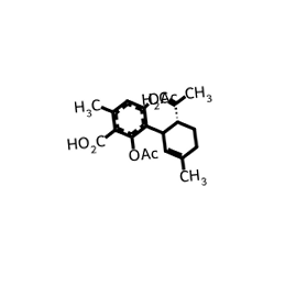 C=C(C)[C@@H]1CCC(C)=CC1c1c(OC(C)=O)cc(C)c(C(=O)O)c1OC(C)=O